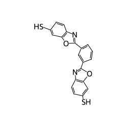 Sc1ccc2nc(-c3cccc(-c4nc5ccc(S)cc5o4)c3)oc2c1